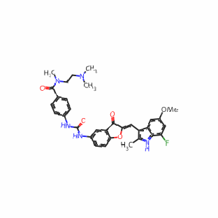 COc1cc(F)c2[nH]c(C)c(/C=C3\Oc4ccc(NC(=O)Nc5ccc(C(=O)N(C)CCN(C)C)cc5)cc4C3=O)c2c1